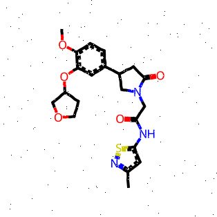 COc1ccc(C2CC(=O)N(CC(=O)Nc3cc(C)ns3)C2)cc1OC1CCOC1